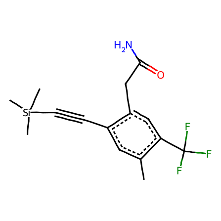 Cc1cc(C#C[Si](C)(C)C)c(CC(N)=O)cc1C(F)(F)F